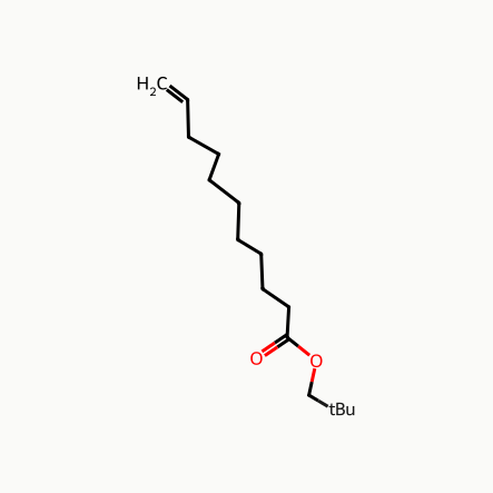 C=CCCCCCCCCC(=O)OCC(C)(C)C